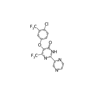 O=c1[nH]c(-c2cnccn2)nc(C(F)(F)F)c1Oc1ccc(Cl)c(C(F)(F)F)c1